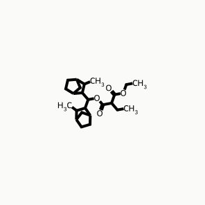 CCOC(=O)C(CC)C(=O)OC(C1C2CCC(C2)C1C)C1C2CCC(C2)C1C